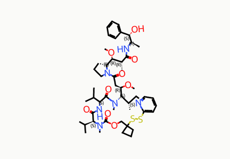 CC[C@H](C)[C@@H]([C@@H](CC(=O)N1CCC[C@@H]1[C@H](OC)[C@@H](C)C(=O)N[C@H](C)[C@@H](O)c1ccccc1)OC)N(C)C(=O)[C@@H](NC(=O)[C@H](C(C)C)N(C)C(=O)OCC1(SSc2ccccn2)CCC1)C(C)C